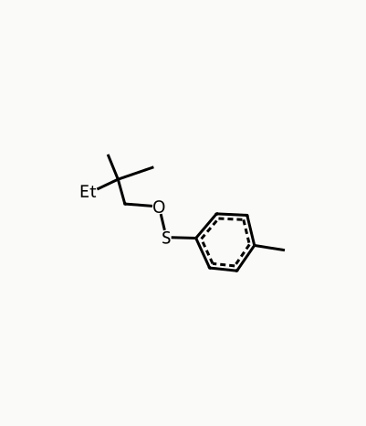 CCC(C)(C)COSc1ccc(C)cc1